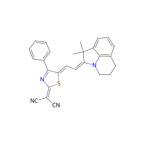 CC1(C)/C(=C\C=c2/sc(=C(C#N)C#N)nc2-c2ccccc2)N2CCCc3cccc1c32